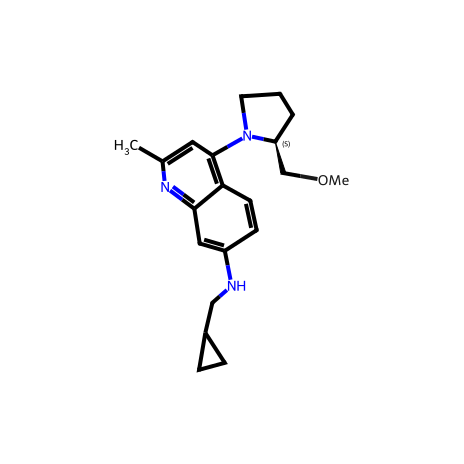 COC[C@@H]1CCCN1c1cc(C)nc2cc(NCC3CC3)ccc12